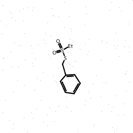 CCS(=O)(=O)SCc1ccccc1